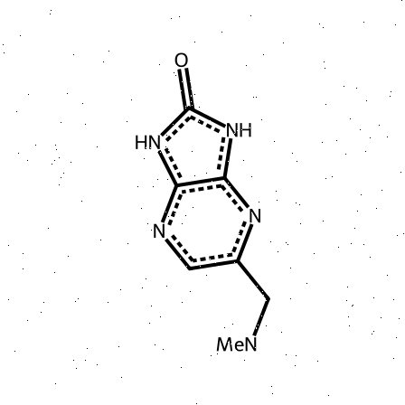 CNCc1cnc2[nH]c(=O)[nH]c2n1